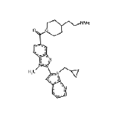 CNCCC1CCN(C(=O)c2ccc3c(c2)nc(-c2cc4cccnc4n2CC2CC2)n3C)CC1